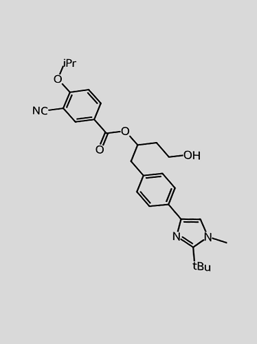 CC(C)Oc1ccc(C(=O)OC(CCO)Cc2ccc(-c3cn(C)c(C(C)(C)C)n3)cc2)cc1C#N